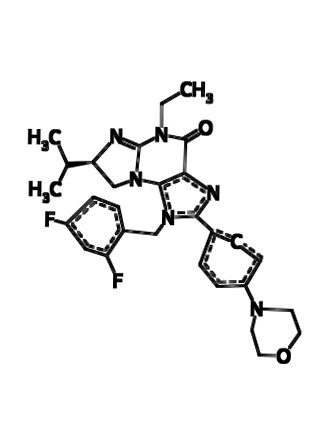 CCN1C(=O)c2nc(-c3ccc(N4CCOCC4)cc3)n(Cc3ccc(F)cc3F)c2N2C[C@@H](C(C)C)N=C12